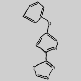 c1ccc(Oc2ccc(-c3nnco3)nc2)cc1